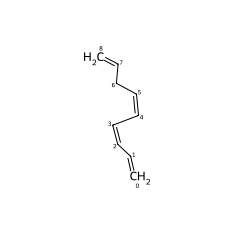 C=C/C=C\C=C/CC=C